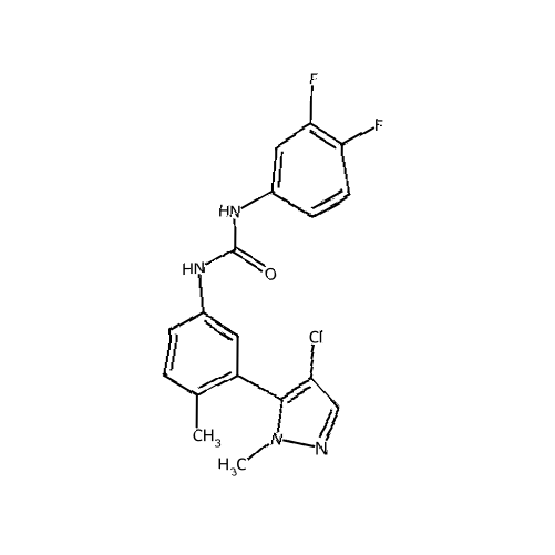 Cc1ccc(NC(=O)Nc2ccc(F)c(F)c2)cc1-c1c(Cl)cnn1C